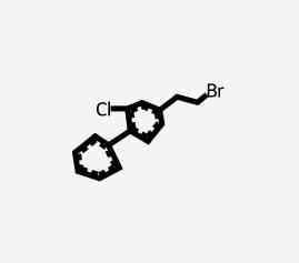 Clc1cc(CCBr)ccc1-c1ccccc1